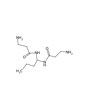 CCCC(NC(=O)CCN)NC(=O)CCN